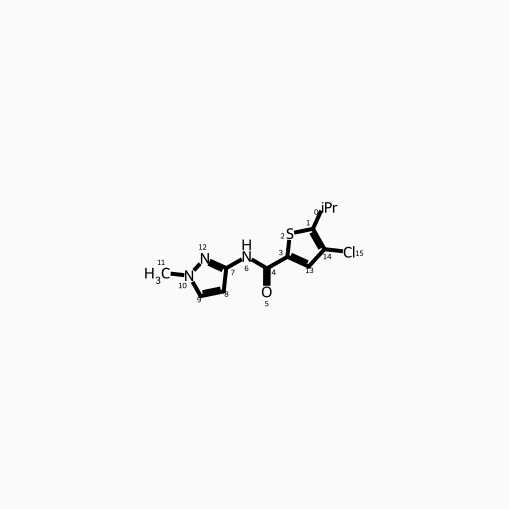 CC(C)c1sc(C(=O)Nc2ccn(C)n2)cc1Cl